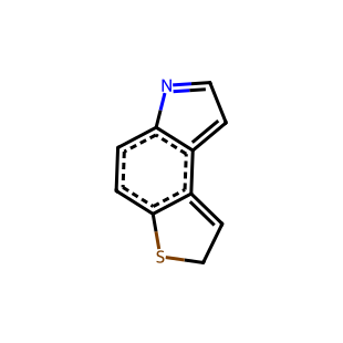 C1=Nc2ccc3c(c2=C1)=CCS3